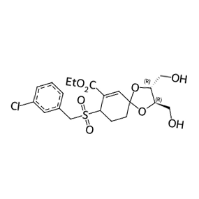 CCOC(=O)C1=CC2(CCC1S(=O)(=O)Cc1cccc(Cl)c1)O[C@H](CO)[C@@H](CO)O2